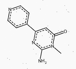 Cn1c(N)nc(-c2ccncc2)cc1=O